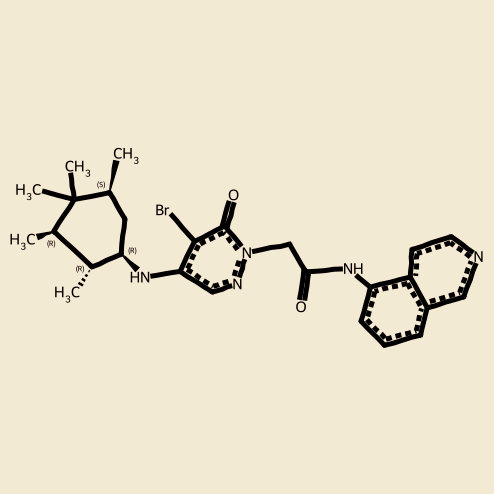 C[C@@H]1[C@@H](C)C(C)(C)[C@@H](C)C[C@H]1Nc1cnn(CC(=O)Nc2cccc3cnccc23)c(=O)c1Br